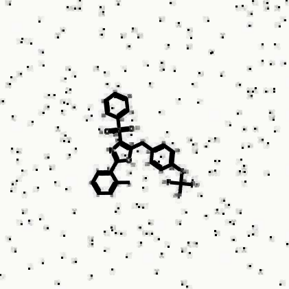 Cc1ccccc1-c1nc(S(=O)(=O)c2ccccc2)c([CH]c2ccc(SC(F)(F)F)cc2)o1